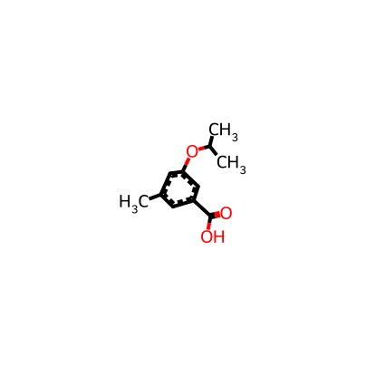 Cc1cc(OC(C)C)cc(C(=O)O)c1